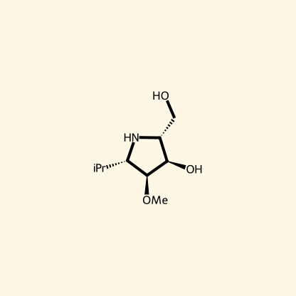 CO[C@@H]1[C@H](O)[C@@H](CO)N[C@H]1C(C)C